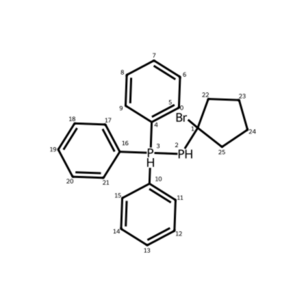 BrC1(P[PH](c2ccccc2)(c2ccccc2)c2ccccc2)CCCC1